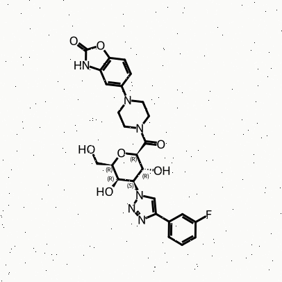 O=C([C@@H]1O[C@H](CO)[C@H](O)[C@H](n2cc(-c3cccc(F)c3)nn2)[C@H]1O)N1CCN(c2ccc3oc(=O)[nH]c3c2)CC1